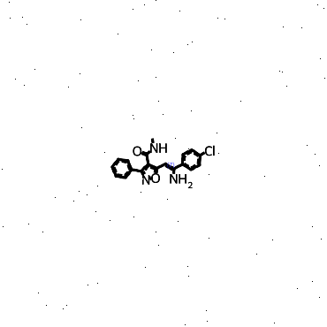 CNC(=O)c1c(-c2ccccc2)noc1/C=C(\N)c1ccc(Cl)cc1